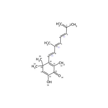 C=C(C)/C=C/C=C(C)/C=C/C1=C(C)C(=O)C(O)=CC1(C)C